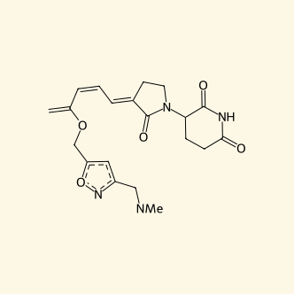 C=C(/C=C\C=C1/CCN(C2CCC(=O)NC2=O)C1=O)OCc1cc(CNC)no1